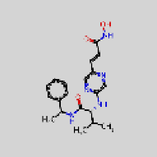 CC(C)[C@@H](Nc1cnc(/C=C/C(=O)NO)cn1)C(=O)N[C@@H](C)c1ccccc1